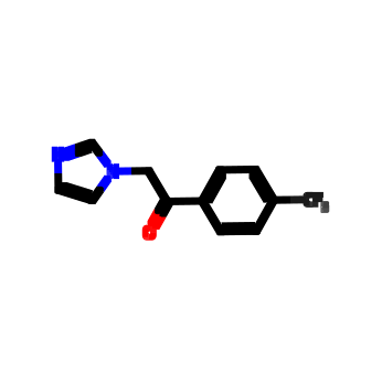 O=C(Cn1ccnc1)c1ccc(C(F)(F)F)cc1